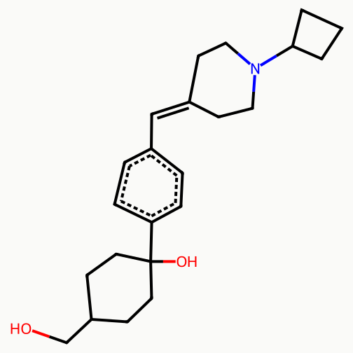 OCC1CCC(O)(c2ccc(C=C3CCN(C4CCC4)CC3)cc2)CC1